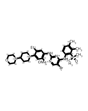 CCc1cc(Nc2ncc(Br)c(Nc3ccc(C)c(C)c3P(C)(C)=O)n2)c(OC)cc1N1CCC(N2CCOCC2)CC1